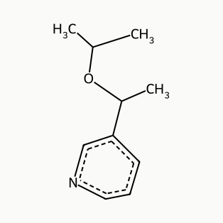 CC(C)OC(C)c1cccnc1